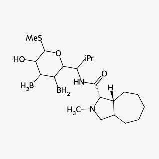 BC1C(B)C(C(NC(=O)[C@@H]2[C@@H]3CCCCCC3CN2C)C(C)C)OC(SC)C1O